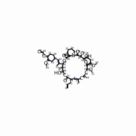 C=CC[C@@H]1/C=C(\C)C[C@H](C)C[C@H](OC)[C@H]2O[C@@](O)(C(=O)C(=O)N3CCCC[C@H]3C(=O)O[C@H](/C(C)=C/[C@@H]3CC[C@@H](OC=O)[C@H](OC)C3)[C@H](C)[C@@H](O)CC1=O)[C@H](C)C[C@@H]2OC